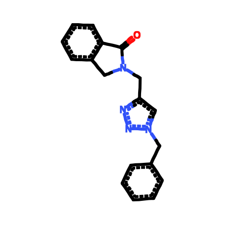 O=C1c2ccccc2CN1Cc1cn(Cc2ccccc2)nn1